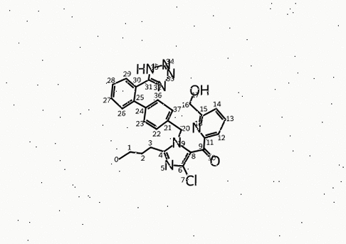 CCCCc1nc(Cl)c(C(=O)c2cccc(CO)n2)n1Cc1ccc(-c2ccccc2-c2nnn[nH]2)cc1